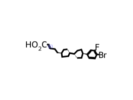 O=C(O)/C=C/CC[C@H]1CC[C@H]([C@H]2CC[C@H](c3ccc(Br)c(F)c3)CC2)CC1